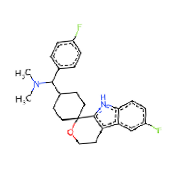 CN(C)C(c1ccc(F)cc1)C1CCC2(CC1)OCCc1c2[nH]c2ccc(F)cc12